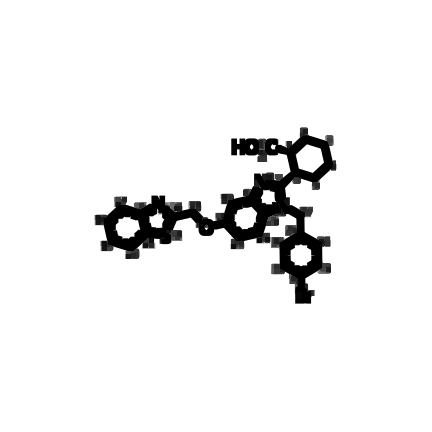 O=C(O)[C@H]1CCCC[C@H]1c1nc2cc(OCc3nc4ccccc4s3)ccc2n1Cc1ccc(Br)cc1